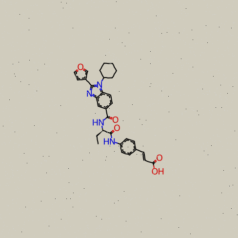 CC[C@@H](NC(=O)c1ccc2c(c1)nc(-c1ccoc1)n2C1CCCCC1)C(=O)Nc1ccc(/C=C/C(=O)O)cc1